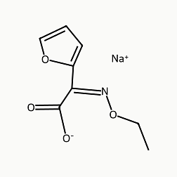 CCON=C(C(=O)[O-])c1ccco1.[Na+]